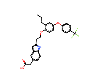 CCCc1cc(Oc2ccc(C(F)(F)F)cc2)ccc1OCCc1cc2cc(CC(=O)O)ccc2[nH]1